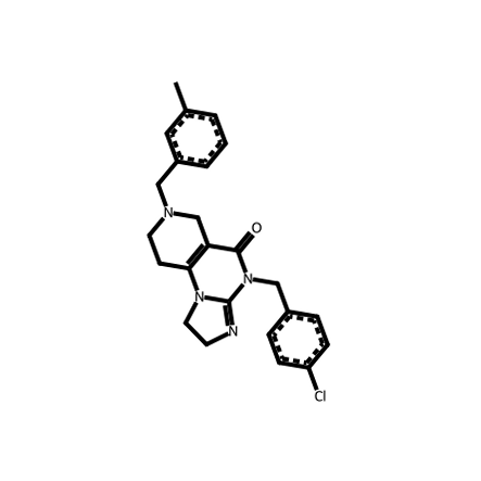 Cc1cccc(CN2CCC3=C(C2)C(=O)N(Cc2ccc(Cl)cc2)C2=NCCN23)c1